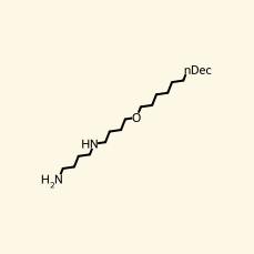 CCCCCCCCCCCCCCCCOCCCCNCCCCN